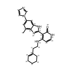 Cc1cc(-n2ccnc2)cc2[nH]c(-c3c(NCCC4=CCCCC4)cc[nH]c3=O)nc12